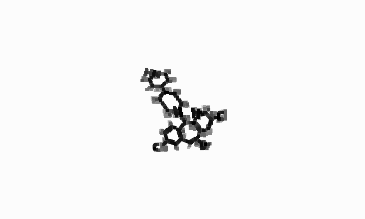 Clc1ccc2c(c1)C=C(Br)c1cc(Cl)cnc1C2N1CCC(C2CCNCC2)CC1